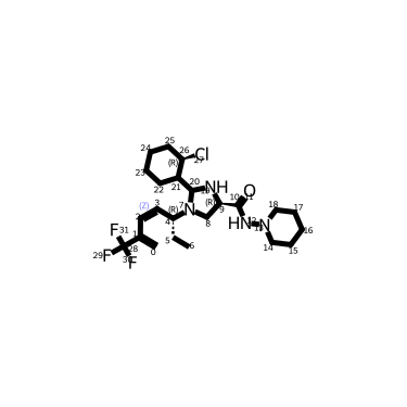 C=C(/C=C\[C@@H](CC)N1C[C@H](C(=O)NN2CCCCC2)NC1C1CCCC[C@H]1Cl)C(F)(F)F